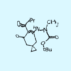 CC(C)C(=O)C1=C(NN(C)C(=O)OC(C)(C)C)CC2(CC2)CC1=O